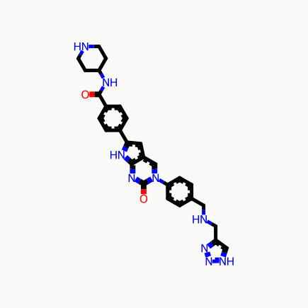 O=C(NC1CCNCC1)c1ccc(-c2cc3cn(-c4ccc(CNCc5c[nH]nn5)cc4)c(=O)nc3[nH]2)cc1